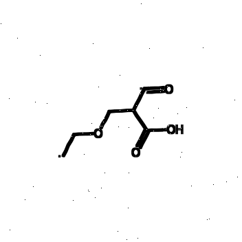 [CH2]COCC([C]=O)C(=O)O